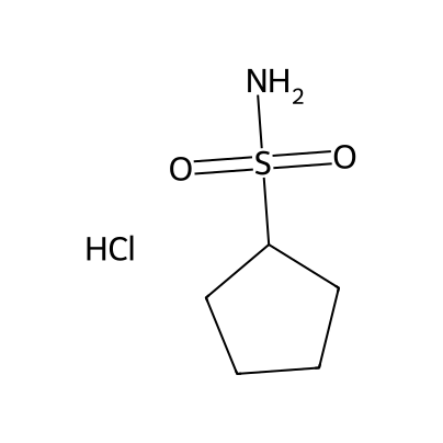 Cl.NS(=O)(=O)C1CCCC1